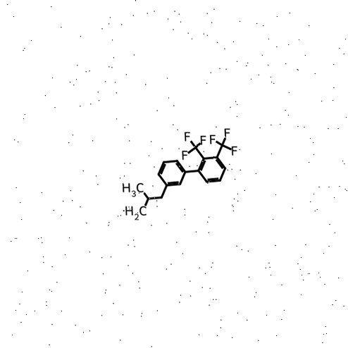 [CH2]C(C)Cc1cccc(-c2cccc(C(F)(F)F)c2C(F)(F)F)c1